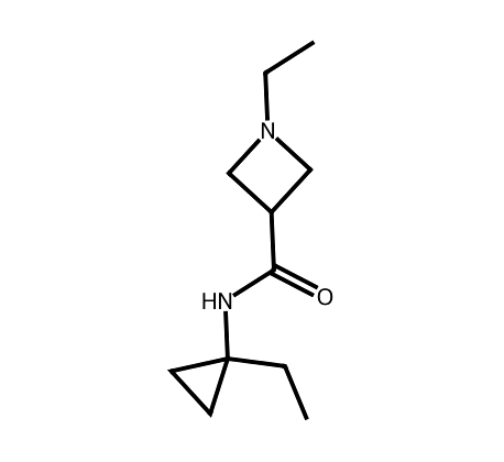 CCN1CC(C(=O)NC2(CC)CC2)C1